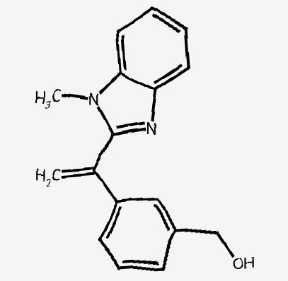 C=C(c1cccc(CO)c1)c1nc2ccccc2n1C